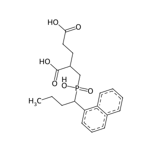 CCCC(c1cccc2ccccc12)P(=O)(O)CC(CCC(=O)O)C(=O)O